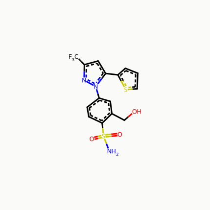 NS(=O)(=O)c1ccc(-n2nc(C(F)(F)F)cc2-c2cccs2)cc1CO